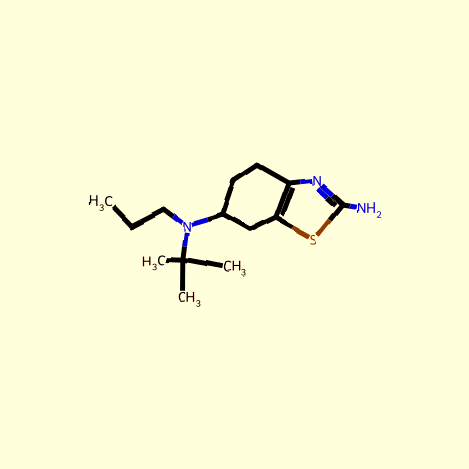 CCCN(C1CCc2nc(N)sc2C1)C(C)(C)C